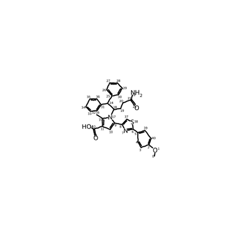 COc1ccc(-c2nc(-c3cc(C(=O)O)c(C)n3C(CCC(N)=O)C(c3ccccc3)c3ccccc3)cs2)cc1